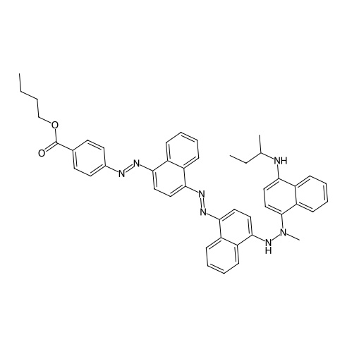 CCCCOC(=O)c1ccc(/N=N/c2ccc(/N=N/c3ccc(NN(C)c4ccc(NC(C)CC)c5ccccc45)c4ccccc34)c3ccccc23)cc1